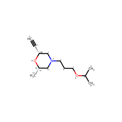 C#C[C@@H]1CN(CCCOC(C)C)C[C@H](C)O1